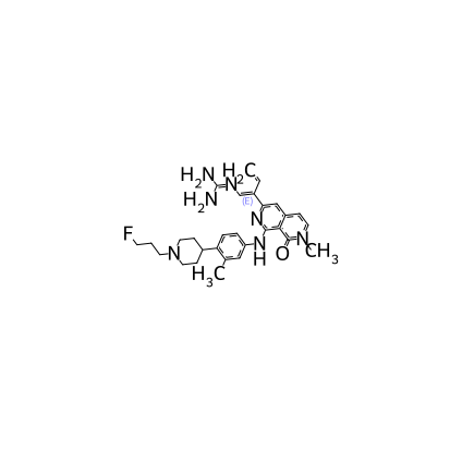 C=C/C(=C\N=C(N)N)c1cc2ccn(C)c(=O)c2c(Nc2ccc(C3CCN(CCCF)CC3)c(C)c2)n1